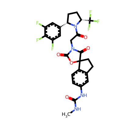 CNC(=O)Nc1ccc2c(c1)CCC21OC(=O)N(CC(=O)N2[C@H](c3cc(F)c(F)c(F)c3)CC[C@@H]2C(F)(F)F)C1=O